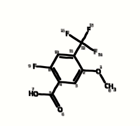 COc1cc(C(=O)O)c(F)cc1C(F)(F)F